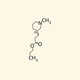 CCCOC(=O)CC[C@H]1CCCN(C)C1